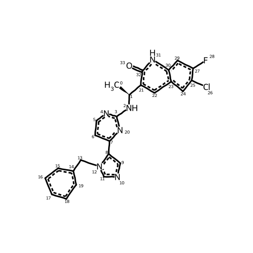 C[C@H](Nc1nccc(-c2cncn2Cc2ccccc2)n1)c1cc2cc(Cl)c(F)cc2[nH]c1=O